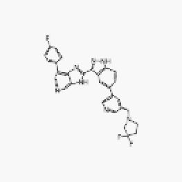 Fc1ccc(-c2cncc3[nH]c(-c4n[nH]c5ccc(-c6cncc(CN7CCC(F)(F)C7)c6)cc45)nc23)cc1